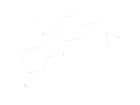 O=C(c1ccc([N+](=O)[O-])cc1Cl)N1CCN(CC2CC2)CC1